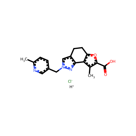 Cc1ccc(Cn2cc3c(n2)-c2c(oc(C(=O)O)c2C)CC3)cn1.[Cl-].[H+]